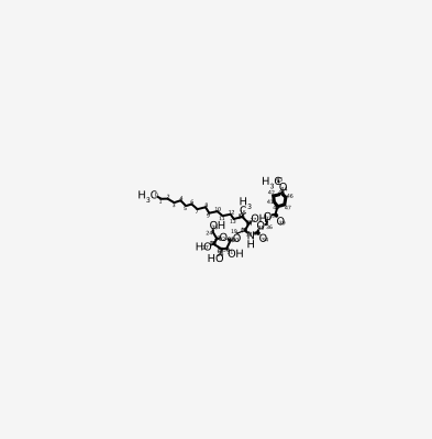 CCCCCCCCCCCCCC[C@@H](C)[C@@H](O)[C@H](CO[C@H]1OC(CO)[C@H](O)[C@H](O)C1O)NC(=O)OCOC(=O)c1ccc(OC)cc1